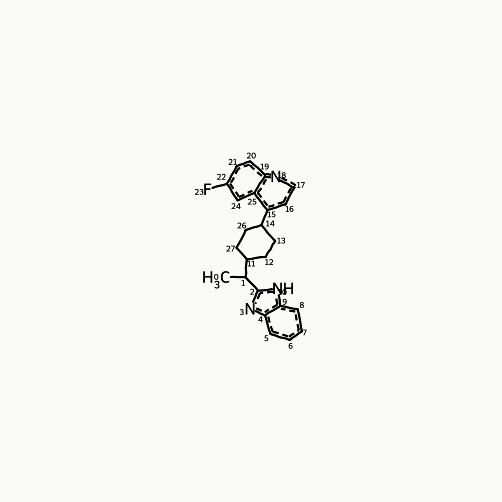 CC(c1nc2ccccc2[nH]1)C1CCC(c2ccnc3ccc(F)cc23)CC1